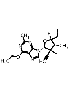 C#C[C@]1(F)[C@H](n2cnc3c(OCC)nc(C)nc32)O[C@](F)(CI)[C@H]1C